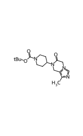 Cc1ncn2c1CN(C1CCN(C(=O)OC(C)(C)C)CC1)C(=O)C2